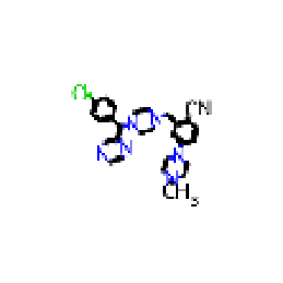 CN1CCN(c2ccc(C#N)c(CN3CCN(C(c4ccc(Cl)cc4)c4cnccn4)CC3)c2)CC1